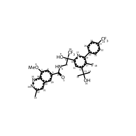 COc1cc(C(=O)NC[C@](O)(c2cc(C(C)(C)O)c(F)c(-c3ccc(C(F)(F)F)cc3)n2)C(F)(F)F)cc2cc(C)nnc12